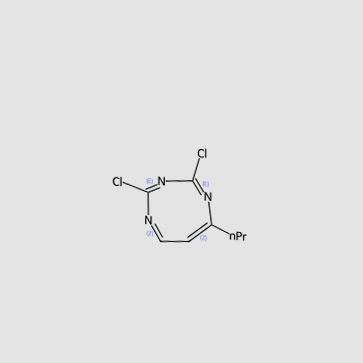 CCCC1=C/C=N\C(Cl)=N/C(Cl)=N\1